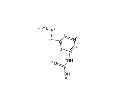 CSCc1cncc(NC(=O)O)c1